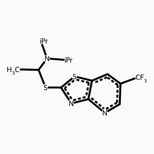 CC(C)N(C(C)C)C(C)Sc1nc2ncc(C(F)(F)F)cc2s1